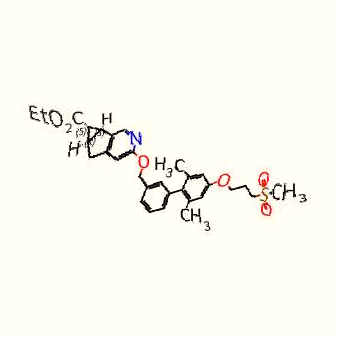 CCOC(=O)[C@H]1[C@@H]2Cc3cc(OCc4cccc(-c5c(C)cc(OCCCS(C)(=O)=O)cc5C)c4)ncc3[C@@H]21